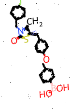 C=c1/c(=C/c2ccc(OCc3ccc(B(O)O)cc3)cc2)sc(=O)n1Cc1ccc(F)cc1